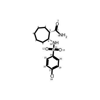 NC(=O)[C@H]1CCCCC[C@H]1NS(=O)(=O)c1ccc(Cl)cc1